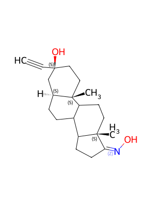 C#C[C@]1(O)CC[C@]2(C)C3CC[C@]4(C)/C(=N\O)CCC4C3CC[C@H]2C1